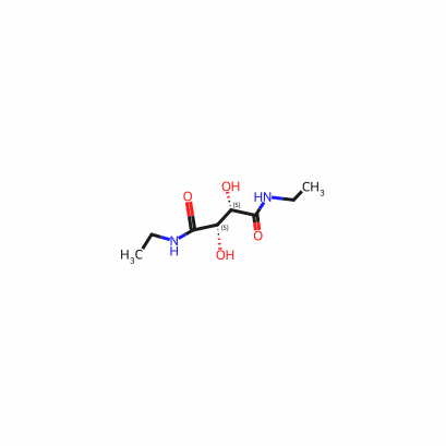 CCNC(=O)[C@@H](O)[C@H](O)C(=O)NCC